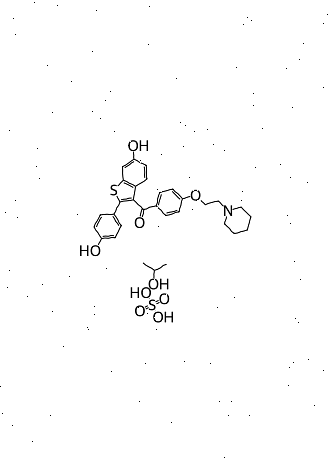 CC(C)O.O=C(c1ccc(OCCN2CCCCC2)cc1)c1c(-c2ccc(O)cc2)sc2cc(O)ccc12.O=S(=O)(O)O